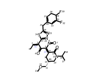 C/C=C(\C(=O)/C(N=O)=C1\C[C@@H](COC)CN(C(C)C)C1=O)c1nnc(CC2=CCC(F)C(F)=C2)s1